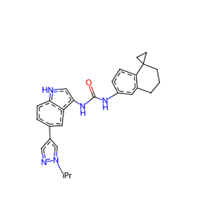 CC(C)n1cc(-c2ccc3[nH]cc(NC(=O)Nc4ccc5c(c4)CCCC54CC4)c3c2)cn1